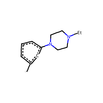 [CH2]c1cccc(N2CCN(CC)CC2)c1